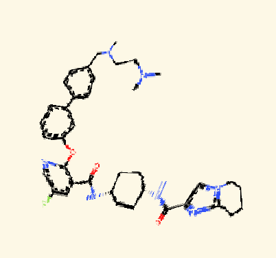 CN(C)CCN(C)Cc1ccc(-c2cccc(Oc3ncc(F)cc3C(=O)N[C@H]3CC[C@@H](NC(=O)c4cn5c(n4)CCCC5)CC3)c2)cc1